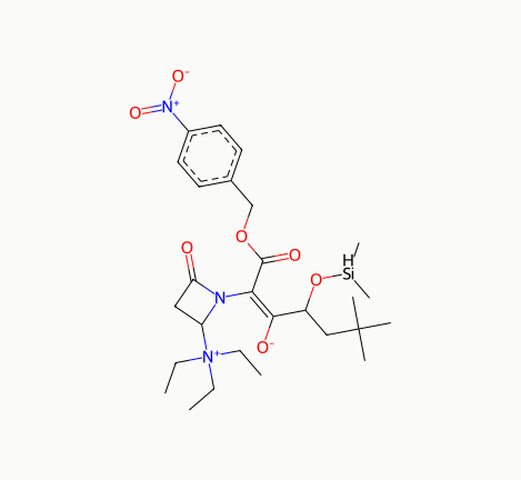 CC[N+](CC)(CC)C1CC(=O)N1C(C(=O)OCc1ccc([N+](=O)[O-])cc1)=C([O-])C(CC(C)(C)C)O[SiH](C)C